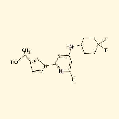 CC(O)c1ccn(-c2nc(Cl)cc(NC3CCC(F)(F)CC3)n2)n1